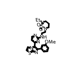 CCN1CCCN(CCNc2nccc(-c3c(-c4cccc(OC)c4)nc4sccn34)n2)S1(=O)=O